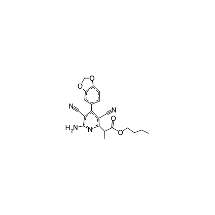 CCCCOC(=O)C(C)c1nc(N)c(C#N)c(-c2ccc3c(c2)OCO3)c1C#N